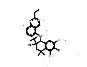 CCc1ncc2c(NC3c4cc(Cl)c(F)c(O)c4C(C)(C)CC3(O)C(F)(F)F)cccc2n1